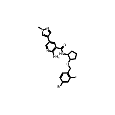 Cn1cc(-c2cnc(N)c(C(=O)NC3CCCC3OCc3ccc(Br)cc3F)c2)cn1